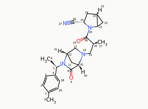 Cc1ccc([C@@H](C)N2C(=O)[C@@H]3C[C@H]2CN3C[C@H](C)C(=O)N2C3C[C@H]3C[C@H]2C#N)cc1